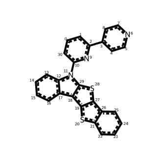 c1cc(-c2ccncc2)nc(-n2c3ccccc3c3c4sc5ccccc5c4sc32)c1